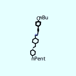 CCCCC[C@H]1CC[C@H](CCC2CCC(/C=C/C#Cc3ccc(OCCCC)cc3)CC2)CC1